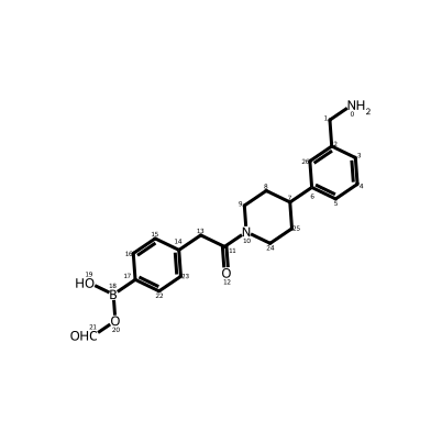 NCc1cccc(C2CCN(C(=O)Cc3ccc(B(O)OC=O)cc3)CC2)c1